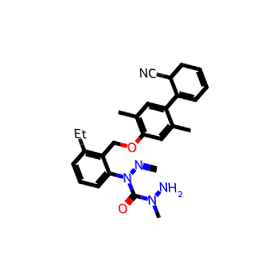 C=NN(C(=O)N(C)N)c1cccc(CC)c1COc1cc(C)c(C2=CC=CCC2C#N)cc1C